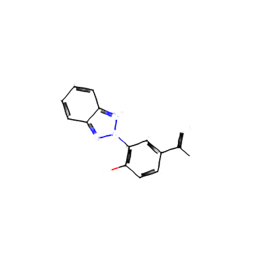 C=C(C)c1ccc(O)c(-n2nc3ccccc3n2)c1